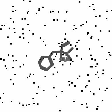 C=CC(Cc1ccccc1)(C(=O)OCC)N(C)C